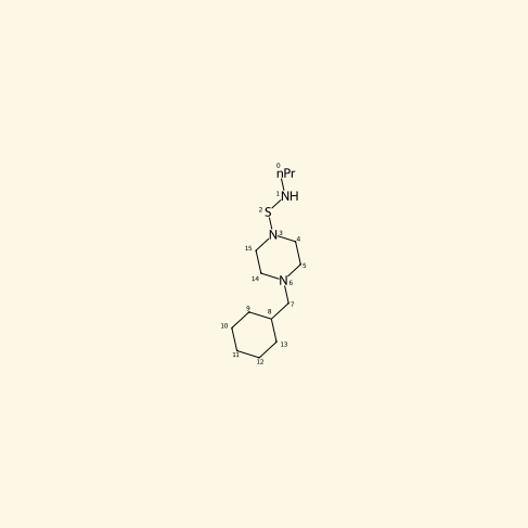 CCCNSN1CCN(CC2CCCCC2)CC1